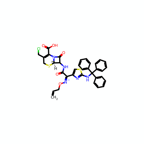 C=CCO/N=C(\C(=O)NC1C(=O)N2C(C(=O)O)=C(CCl)CS[C@H]12)c1csc(NC(c2ccccc2)(c2ccccc2)c2ccccc2)n1